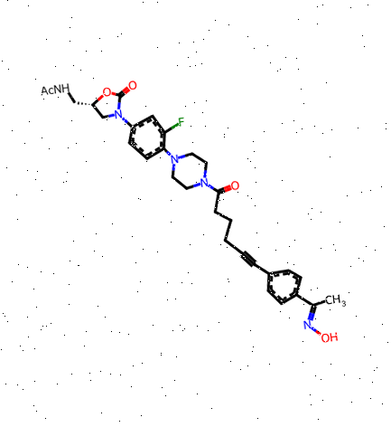 CC(=O)NC[C@H]1CN(c2ccc(N3CCN(C(=O)CCCC#Cc4ccc(/C(C)=N/O)cc4)CC3)c(F)c2)C(=O)O1